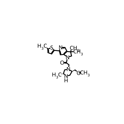 COC[C@H]1CN[C@H](C)CN1CC(=O)N1CC(C)(C)c2cnc(-c3ccc(C)s3)cc21